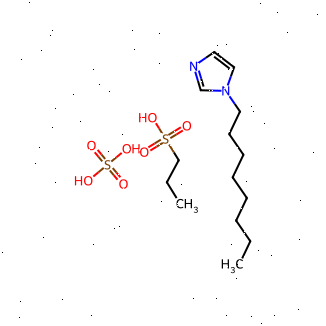 CCCCCCCCn1ccnc1.CCCS(=O)(=O)O.O=S(=O)(O)O